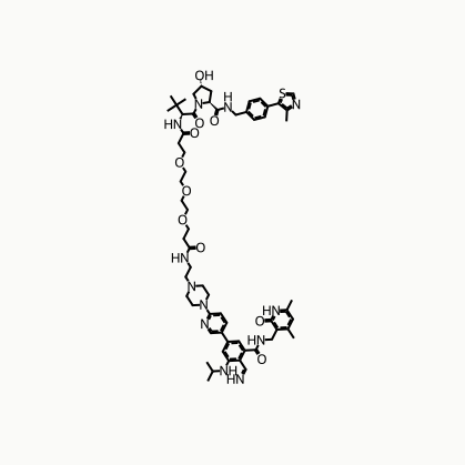 Cc1cc(C)c(CNC(=O)c2cc(-c3ccc(N4CCN(CCNC(=O)CCOCCOCCOCCC(=O)N[C@H](C(=O)N5C[C@H](O)C[C@H]5C(=O)NCc5ccc(-c6scnc6C)cc5)C(C)(C)C)CC4)nc3)cc(NC(C)C)c2C=N)c(=O)[nH]1